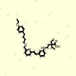 CCOc1ccc(CCCCOCc2cccc(C=Cc3cccc(NCCC(CC)(CC)C(=O)O)c3)n2)cc1